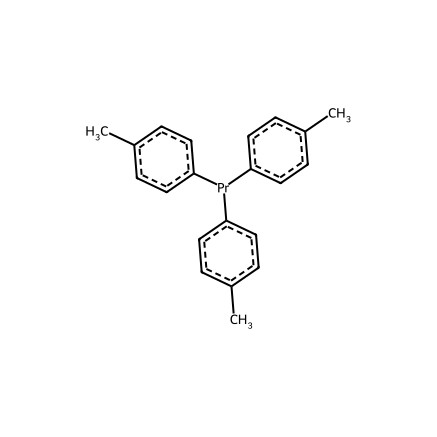 Cc1cc[c]([Pr]([c]2ccc(C)cc2)[c]2ccc(C)cc2)cc1